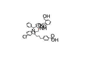 O=C(O)c1ccc(CCCc2c(CCNS(=O)(=O)Cc3ccccc3CO)n(C(c3ccccc3)c3ccccc3)c3ccc(Cl)cc23)cc1